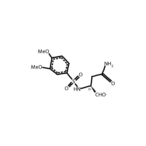 COc1ccc(S(=O)(=O)N[C@H]([C]=O)CC(N)=O)cc1OC